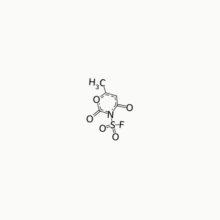 Cc1cc(=O)n(S(=O)(=O)F)c(=O)o1